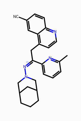 Cc1cccc(/C(Cc2ccnc3ccc(C#N)cc23)=N\N2CC3CCCC(C3)C2)n1